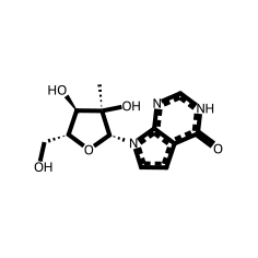 C[C@@]1(O)[C@H](O)[C@@H](CO)O[C@H]1n1ccc2c(=O)[nH]cnc21